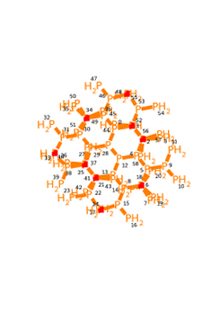 PPP(P)P(P(P(P)P)P(P)P)P(P(P(P(P)P)P(P)P)P(P(P)P)P(P)P)P(P(P(P(P)P)P(P)P)P(P(P)P)P(P)P)P(P(P(P)P)P(P)P)P(P(P)P)P(P)P